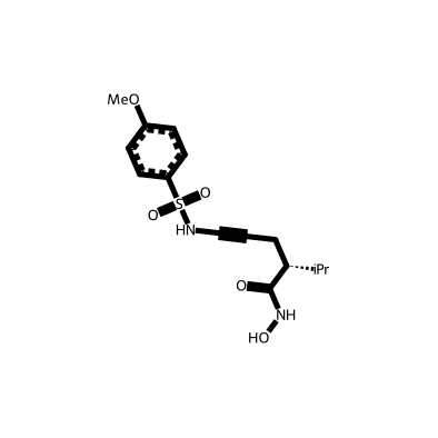 COc1ccc(S(=O)(=O)NC#CC[C@@H](C(=O)NO)C(C)C)cc1